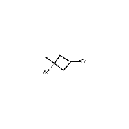 CC(=O)[C@]1(C)C[C@@H](C(C)C)C1